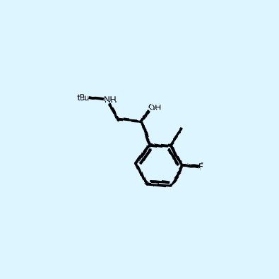 Cc1c(F)cccc1C(O)CNC(C)(C)C